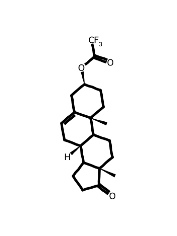 C[C@]12CC[C@H](OC(=O)C(F)(F)F)CC1=CC[C@@H]1C2CC[C@]2(C)C(=O)CCC12